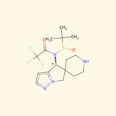 CC(C)(C)[S+]([O-])N(C(=O)C(F)(F)F)[C@@H]1c2ccnn2CC12CCNCC2